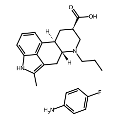 CCCN1C[C@H](C(=O)O)C[C@@H]2c3cccc4[nH]c(C)c(c34)C[C@H]21.Nc1ccc(F)cc1